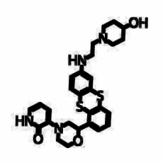 O=c1[nH]cccc1N1CCOC(c2cccc3c2Sc2ccc(NCCN4CCC(O)CC4)cc2S3)C1